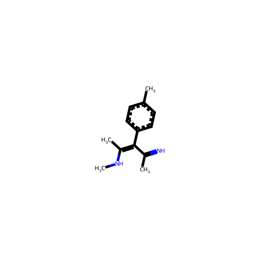 CN/C(C)=C(\C(C)=N)c1ccc(C)cc1